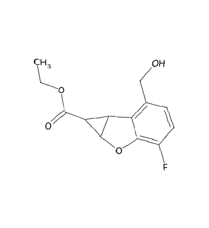 CCOC(=O)C1C2Oc3c(F)ccc(CO)c3C21